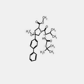 COC(=O)C1C[C@@](OC)(c2ccc(-c3ccccc3)cc2)CN1C(=O)[C@@H](NC(=O)OC(C)(C)C)C(C)C